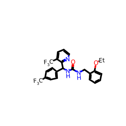 CCOc1ccccc1CNC(=O)NC(c1ccc(C(F)(F)F)cc1)c1ncccc1C(F)(F)F